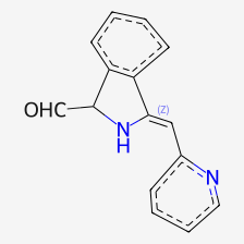 O=CC1N/C(=C\c2ccccn2)c2ccccc21